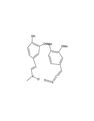 COc1cc(C=C=S=O)ccc1O.COc1cc(C=C[S+](C)[O-])ccc1O